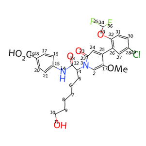 COc1cn(C(CCCCCCO)C(=O)Nc2ccc(C(=O)O)cc2)c(=O)cc1-c1cc(Cl)ccc1OC(F)F